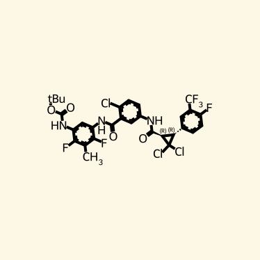 Cc1c(F)c(NC(=O)OC(C)(C)C)cc(NC(=O)c2cc(NC(=O)[C@H]3[C@H](c4ccc(F)c(C(F)(F)F)c4)C3(Cl)Cl)ccc2Cl)c1F